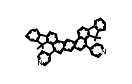 CC1(C)c2ccccc2-c2ccc3c(c(-c4ccncc4)cc4cc5cc(-c6ccncc6)c6c7c(ccc6c5cc43)-c3ccccc3C7(C)C)c21